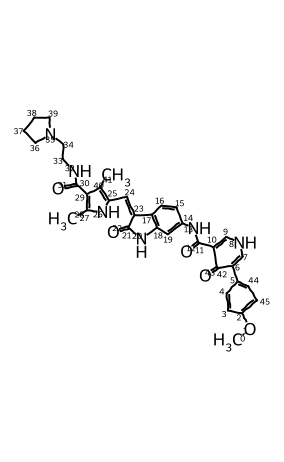 COc1ccc(-c2c[nH]cc(C(=O)Nc3ccc4c(c3)NC(=O)C4=Cc3[nH]c(C)c(C(=O)NCCN4CCCC4)c3C)c2=O)cc1